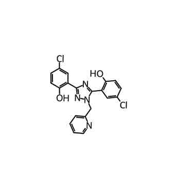 Oc1ccc(Cl)cc1-c1nc(-c2cc(Cl)ccc2O)n(Cc2ccccn2)n1